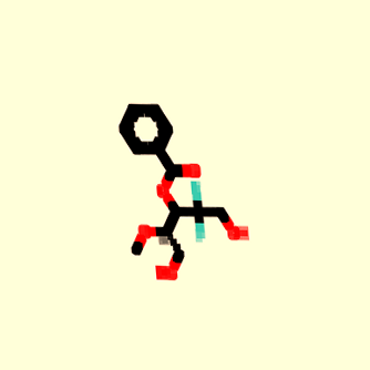 CO[C@@H](CO)C(OC(=O)c1ccccc1)C(F)(F)CO